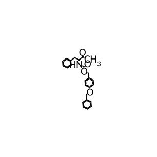 CC(=O)C(Cc1ccccc1)NC(=O)OCc1ccc(OCc2ccccc2)cc1